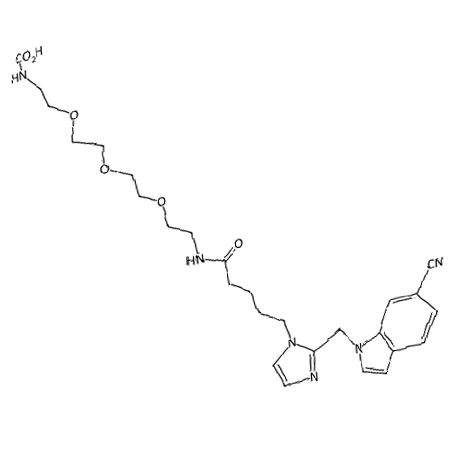 N#Cc1ccc2ccn(Cc3nccn3CCCCC(=O)NCCOCCOCCOCCNC(=O)O)c2c1